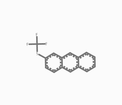 FC(F)(F)Sc1ccc2cc3ccccc3cc2c1